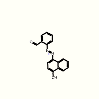 O=Cc1ccccc1/N=N/c1ccc(O)c2ccccc12